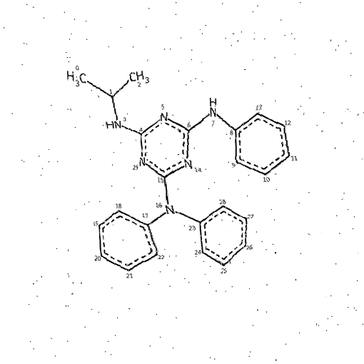 CC(C)Nc1nc(Nc2ccccc2)nc(N(c2ccccc2)c2ccccc2)n1